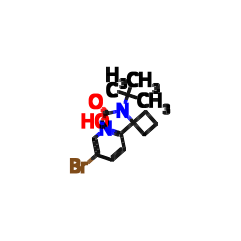 CC(C)(C)N(C(=O)O)C1(c2ccc(Br)cn2)CCC1